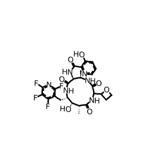 C[C@H]1NC(=O)C(C2CCO2)NC(=O)[C@H](C)[C@H](O)[C@H](Cc2c(F)nc(F)c(F)c2F)NC(=O)[C@H]1NC(=O)c1ncccc1O